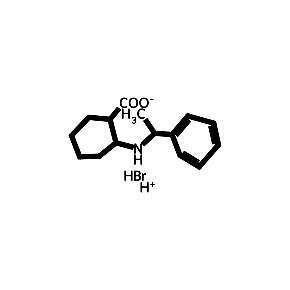 Br.CC(NC1CCCCC1C(=O)[O-])c1ccccc1.[H+]